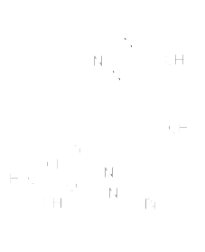 Cc1cc2c(Br)nn(C(=O)OC(C)(C)C)c2cc1-c1cc(C)c2ncnn2c1